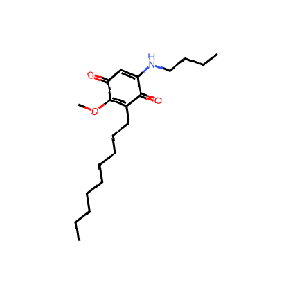 CCCCCCCCCC1=C(OC)C(=O)C=C(NCCCC)C1=O